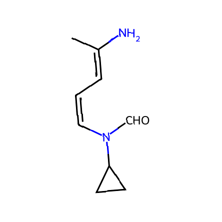 C/C(N)=C\C=C/N(C=O)C1CC1